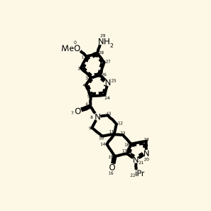 COc1cc2cc(C(=O)N3CCC4(CC3)CC(=O)c3c(cnn3C(C)C)C4)cnc2cc1N